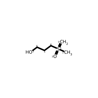 C=S(C)(=O)CCCO